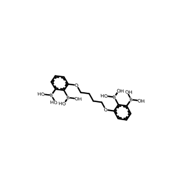 OB(O)c1cccc(OCCCCOc2cccc(B(O)O)c2B(O)O)c1B(O)O